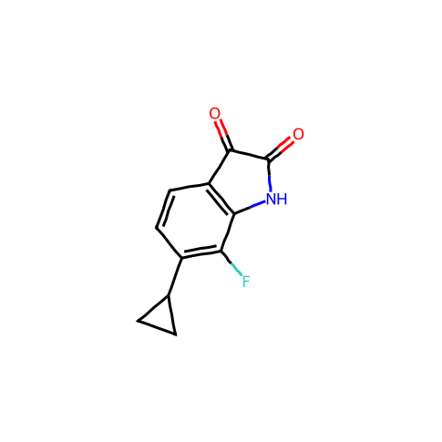 O=C1Nc2c(ccc(C3CC3)c2F)C1=O